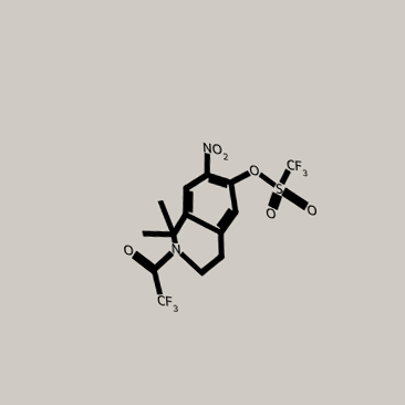 CC1(C)c2cc([N+](=O)[O-])c(OS(=O)(=O)C(F)(F)F)cc2CCN1C(=O)C(F)(F)F